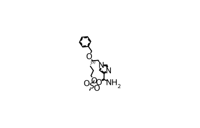 CS(=O)(=O)OCCC[C@@H](Cn1cnc(C(N)=O)c1)OCc1ccccc1